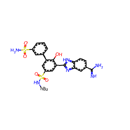 CCCCNS(=O)(=O)c1cc(-c2cccc(S(N)(=O)=O)c2)c(O)c(-c2nc3cc(C(=N)N)ccc3[nH]2)c1